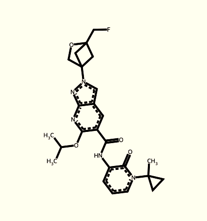 CC(C)Oc1nc2nn(C34COC(CF)(C3)C4)cc2cc1C(=O)Nc1cccn(C2(C)CC2)c1=O